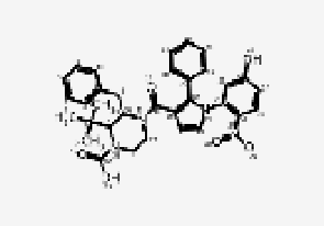 CC(C)(C)C1[C@@H](Cc2ccccc2)N(C(=O)c2ccn(-c3cc(O)ccc3[N+](=O)[O-])c2-c2ccccc2)CCN1C(=O)O